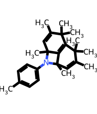 CC1=CC2(C)C3=C(C1(C)C)C(C)(C)C(C)=CC3(C)N2c1ccc(C)cc1